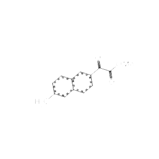 COC(=O)C(=O)c1ccc2cc(C)ccc2c1